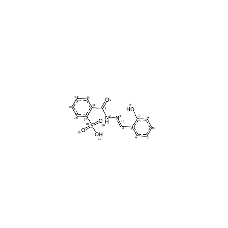 O=C(N/N=C/c1ccccc1O)c1ccccc1S(=O)(=O)O